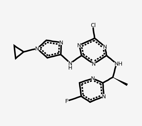 C[C@H](Nc1nc(Cl)nc(Nc2cn(C3CC3)cn2)n1)c1ncc(F)cn1